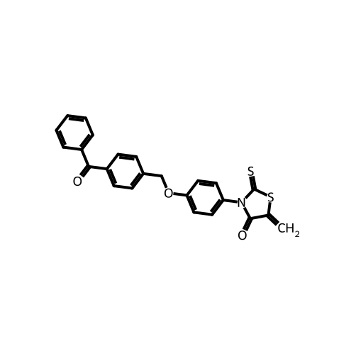 C=C1SC(=S)N(c2ccc(OCc3ccc(C(=O)c4ccccc4)cc3)cc2)C1=O